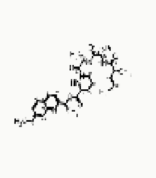 C=Cc1ccc2ccc([C@@H](C)OC(=O)[C@@H]3CCCN(C(=O)[C@H](C)NC(=O)[C@@H](NC(=O)[C@H](C)/C=C/C)C(C)C)N3)nc2c1